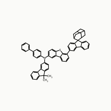 CC1(C)c2ccccc2-c2cc(N(c3ccc(-c4ccccc4)cc3)c3ccc4sc5c(-c6ccc7c(c6)-c6ccccc6C76C7CC8CC(C7)CC6C8)cccc5c4c3)ccc21